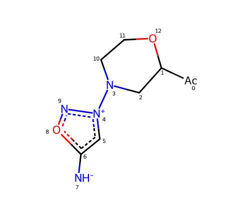 CC(=O)C1CN([n+]2cc([NH-])on2)CCO1